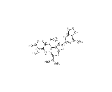 CCCCN(CCCC)C(=O)CN1C[C@H](c2cc(OC)c3c(c2)OCO3)[C@@H](C(=O)O)[C@@H]1CCN1CCC(=O)N(C)C1=O